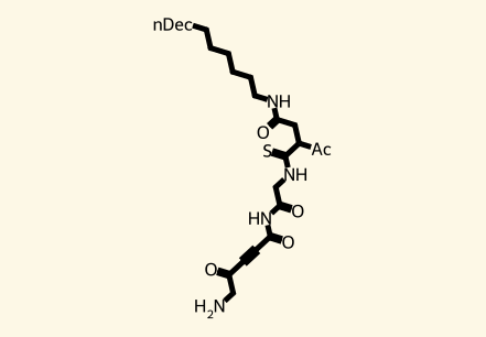 CCCCCCCCCCCCCCCCNC(=O)CC(C(C)=O)C(=S)NCC(=O)NC(=O)C#CC(=O)CN